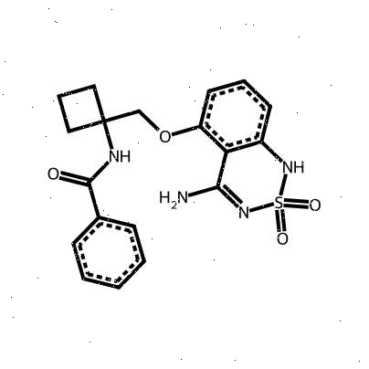 NC1=NS(=O)(=O)Nc2cccc(OCC3(NC(=O)c4ccccc4)CCC3)c21